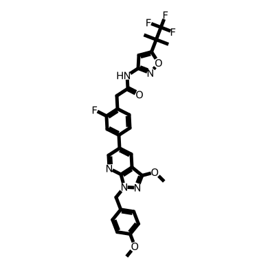 COc1ccc(Cn2nc(OC)c3cc(-c4ccc(CC(=O)Nc5cc(C(C)(C)C(F)(F)F)on5)c(F)c4)cnc32)cc1